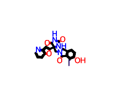 O=C1NC(=O)C(CN2Cc3ccc(O)c(I)c3C2=O)(c2cc3ncccc3o2)N1